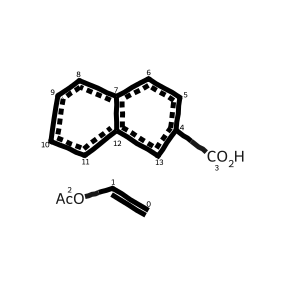 C=COC(C)=O.O=C(O)c1ccc2ccccc2c1